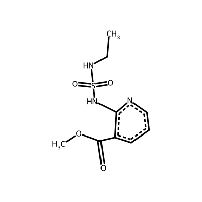 CCNS(=O)(=O)Nc1ncccc1C(=O)OC